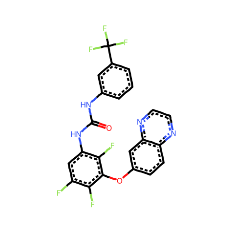 O=C(Nc1cccc(C(F)(F)F)c1)Nc1cc(F)c(F)c(Oc2ccc3nccnc3c2)c1F